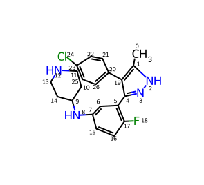 Cc1[nH]nc(-c2cc(NC3CCNCC3)ccc2F)c1-c1ccc(Cl)cc1